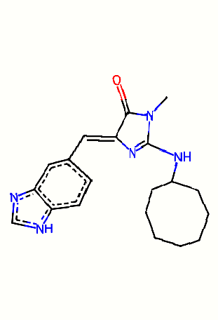 CN1C(=O)/C(=C/c2ccc3[nH]cnc3c2)N=C1NC1CCCCCCC1